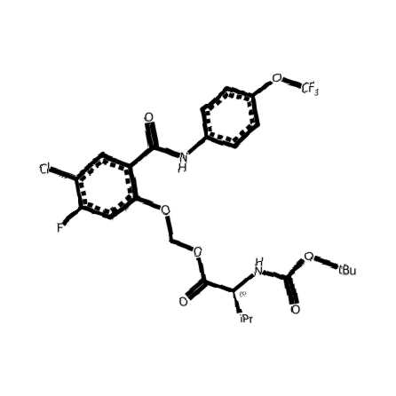 CC(C)[C@H](NC(=O)OC(C)(C)C)C(=O)OCOc1cc(F)c(Cl)cc1C(=O)Nc1ccc(OC(F)(F)F)cc1